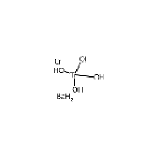 [BaH2].[Cr].[OH][Ti]([OH])([OH])[OH]